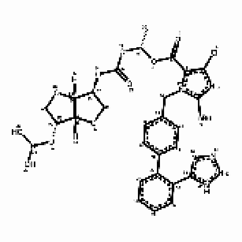 CCCCc1nc(Cl)c(C(=O)O[C@@H](C)OC(=O)O[C@H]2CO[C@H]3[C@@H]2OC[C@H]3ON(O)O)n1Cc1ccc(-c2ccccc2-c2nnn[nH]2)cc1